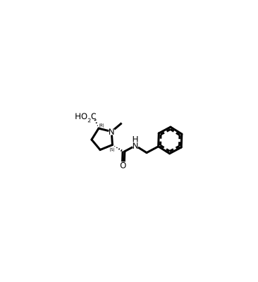 CN1[C@@H](C(=O)O)CC[C@H]1C(=O)NCc1ccccc1